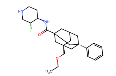 CCOC[C@]12CC3CC(C(=O)N[C@@H]4CCNC[C@@H]4F)(C1)C[C@@](c1ccccc1)(C3)C2